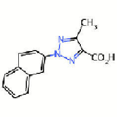 Cc1nn(-c2ccc3ccccc3c2)nc1C(=O)O